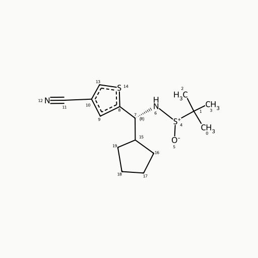 CC(C)(C)[S+]([O-])N[C@@H](c1cc(C#N)cs1)C1CCCC1